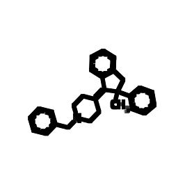 CC1(c2ccccc2)Cc2ccccc2C1=C1CCN(Cc2ccccc2)CC1